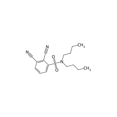 CCCCN(CCCC)S(=O)(=O)c1cccc(C#N)c1C#N